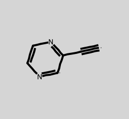 [C]#Cc1[c]nccn1